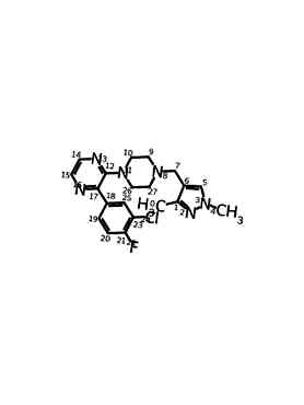 Cc1nn(C)cc1CN1CCN(c2nccnc2-c2ccc(F)c(Cl)c2)CC1